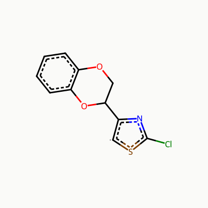 Clc1nc(C2COc3ccccc3O2)[c]s1